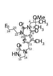 COC(C)(C)Cn1c(=O)c2c(C)c(CN3CCNC3=O)sc2n(CCCF)c1=O